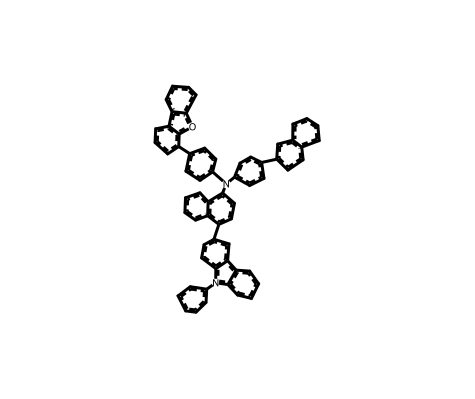 c1ccc(-n2c3ccccc3c3cc(-c4ccc(N(c5ccc(-c6ccc7ccccc7c6)cc5)c5ccc(-c6cccc7c6oc6ccccc67)cc5)c5ccccc45)ccc32)cc1